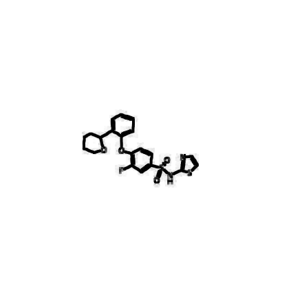 O=S(=O)(Nc1nccs1)c1ccc(Oc2ccccc2C2CCCCO2)c(F)c1